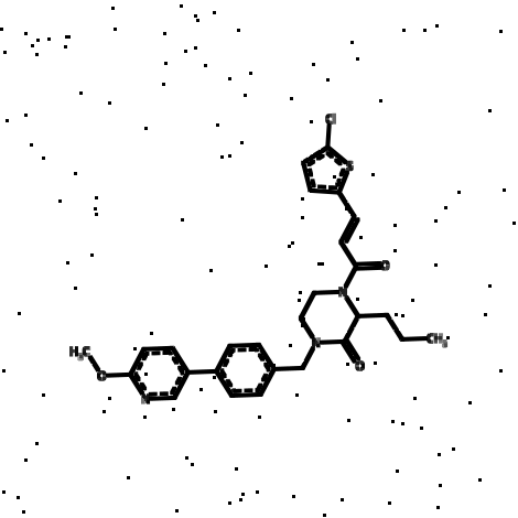 CCCC1C(=O)N(Cc2ccc(-c3ccc(OC)nc3)cc2)CCN1C(=O)/C=C/c1ccc(Cl)s1